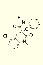 CCN(C(=O)C1(O)Cc2c(Cl)cccc2N(C)C1=O)c1ccccc1